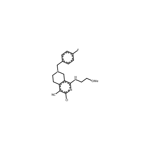 COCCNc1nc(Cl)c(C#N)c2c1CN(Cc1ccc(F)cc1)CC2